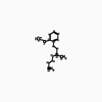 COc1ccccc1CCN(C)CCCN